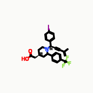 C=C(C)C#C[C@H](c1ccc(I)cc1)N1CC[C@@H](CC(=O)O)CC1c1ccc(C(F)(F)F)cc1